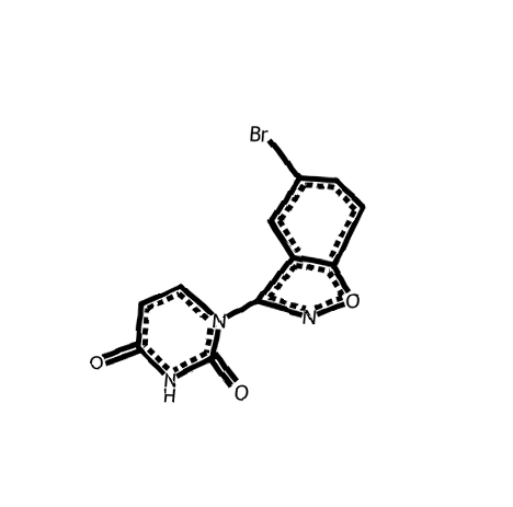 O=c1ccn(-c2noc3ccc(Br)cc23)c(=O)[nH]1